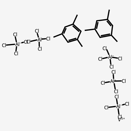 Cc1cc(C)cc(C)c1.Cc1cc(C)cc(C)c1.[Cl][Al-]([Cl])([Cl])[Cl].[Cl][Al-]([Cl])([Cl])[Cl].[Cl][Al-]([Cl])([Cl])[Cl].[Cl][Al-]([Cl])([Cl])[Cl].[Cl][Al-]([Cl])([Cl])[Cl].[V+5]